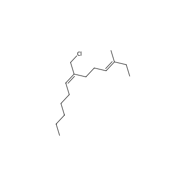 CCCCC/C=C(/CCl)CC/C=C(\C)CC